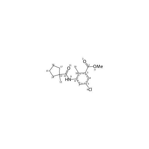 COC(=O)c1cc(Cl)cc(NC(=O)C2(C)CCCC2)c1C